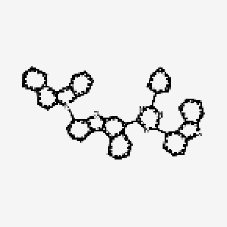 c1ccc(-c2nc(-c3cc4oc5c(-n6c7ccccc7c7c8ccccc8ccc76)cccc5c4c4ccccc34)nc(-c3cccc4sc5ccccc5c34)n2)cc1